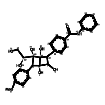 COc1ccc(C2[C@]3(O)C(O)C(c4ccc(C(=O)Nc5ccccc5)cc4)[C@]3(O)[C@]2(O)[C@H](O)CO)cc1